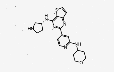 c1cc(-c2nc(N[C@@H]3CCNC3)c3sccc3n2)cc(NC2CCOCC2)n1